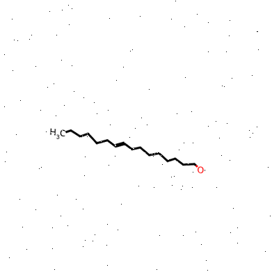 CCCCCCC=CCCCCCCCC[O]